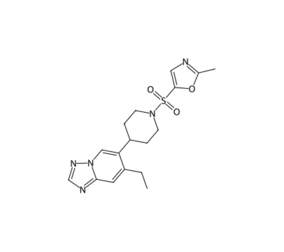 CCc1cc2ncnn2cc1C1CCN(S(=O)(=O)c2cnc(C)o2)CC1